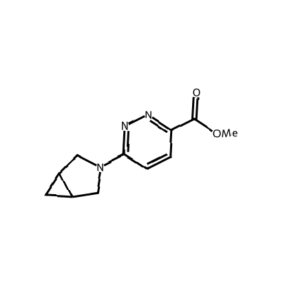 COC(=O)c1ccc(N2CC3CC3C2)nn1